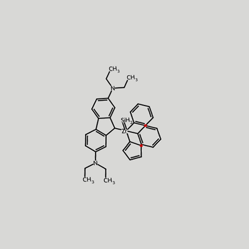 CCN(CC)c1ccc2c(c1)[CH]([Zr](=[SiH2])([C]1=CC=CC1)([c]1ccccc1)[c]1ccccc1)c1cc(N(CC)CC)ccc1-2